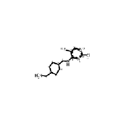 NCC1CCC(CNc2nc(Cl)ncc2F)CC1